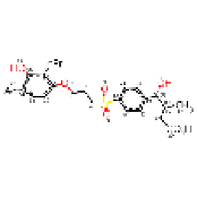 CCCc1c(OCCCS(=O)(=O)c2ccc([C@H](O)[C@@H](C)CC(=O)O)cc2)ccc(C(C)=O)c1O